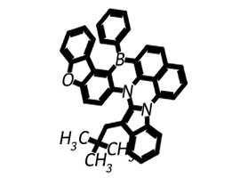 CC(C)(C)Cc1c2ccccc2n2c3cccc4ccc5c(c43)n(c12)-c1ccc2oc3ccccc3c2c1B5c1ccccc1